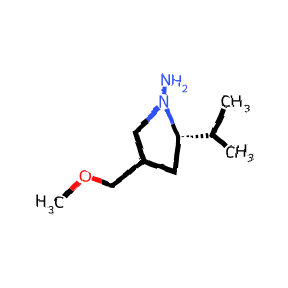 COCC1C[C@@H](C(C)C)N(N)C1